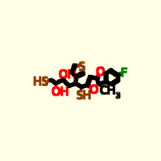 C[C@]1(c2ccc(F)cc2)OC([C@H](S)C(CC(O)[C@@H](O)CS)c2ccsc2)=CC1=O